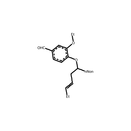 CC/C=C/CC(CCCCCCCCC)Oc1ccc(C=O)cc1OCC